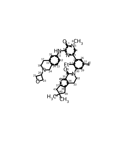 CCc1c(-c2cn(C)c(=O)c(Nc3ccc4c(c3)CCN(C3COC3)C4)n2)cc(F)cc1N1CCc2c(sc3c2CC(C)(C)C3)C1=O